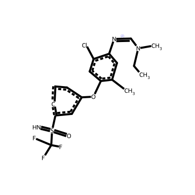 CCN(C)/C=N\c1cc(C)c(Oc2cccc(S(=N)(=O)C(F)(F)F)c2)cc1Cl